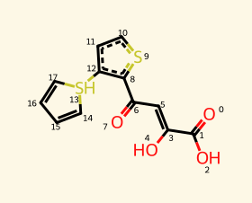 O=C(O)C(O)=CC(=O)c1sccc1[SH]1C=CC=C1